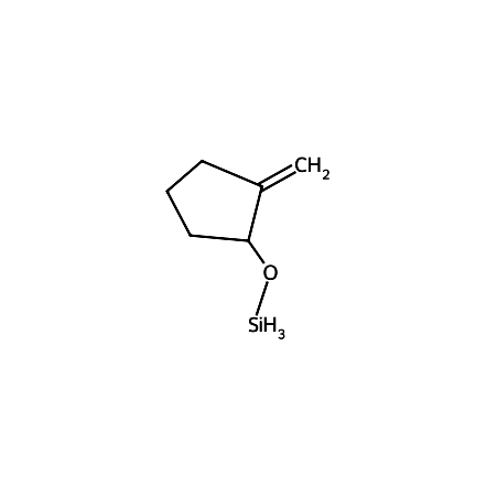 C=C1CCCC1O[SiH3]